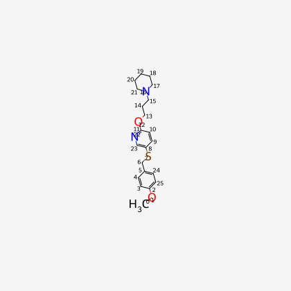 COc1ccc(CSc2ccc(OCCCN3CCCCC3)nc2)cc1